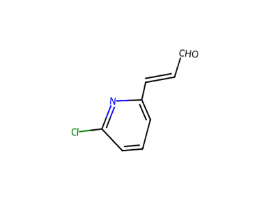 O=CC=Cc1cccc(Cl)n1